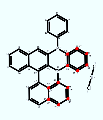 [Cl][Ni][Cl].c1ccc(P(c2ccccc2)c2cc3ccccc3c(-c3cccc4ccccc34)c2P(c2ccccc2)c2ccccc2)cc1